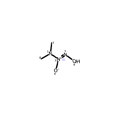 CN(C)/[N+]([O-])=N/O